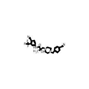 CC(O)(CN1CCN(Cc2ccc(C#N)cc2)CC1)C(=O)Nc1ccc(C#N)c(C(F)(F)F)c1